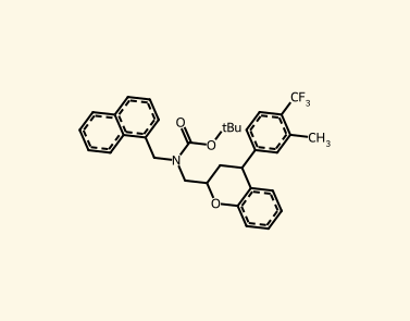 Cc1cc(C2CC(CN(Cc3cccc4ccccc34)C(=O)OC(C)(C)C)Oc3ccccc32)ccc1C(F)(F)F